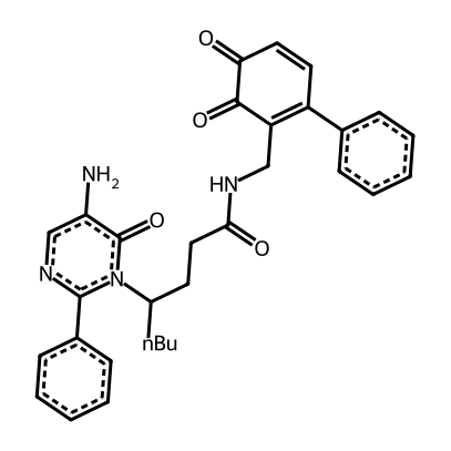 CCCCC(CCC(=O)NCC1=C(c2ccccc2)C=CC(=O)C1=O)n1c(-c2ccccc2)ncc(N)c1=O